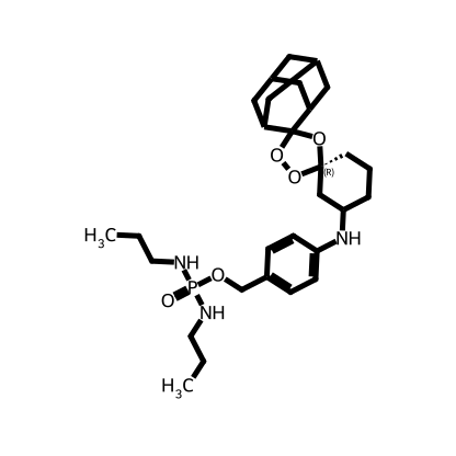 CCCNP(=O)(NCCC)OCc1ccc(NC2CCC[C@]3(C2)OOC2(O3)C3CC4CC(C3)CC2C4)cc1